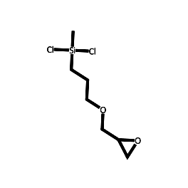 C[Si](Cl)(Cl)CCCOCC1CO1